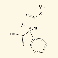 COC(=O)N[C@](C)(C(=O)O)c1ccccc1